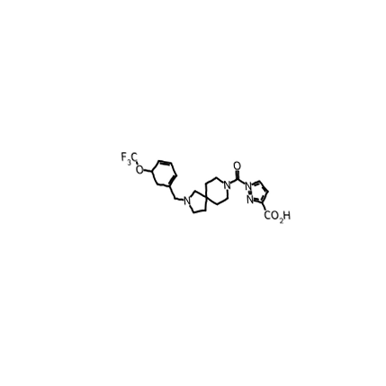 O=C(O)c1ccn(C(=O)N2CCC3(CCN(CC4=CC=CC(OC(F)(F)F)C4)C3)CC2)n1